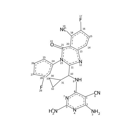 N#Cc1c(N)nc(N)nc1NC(c1nc2ccc(F)c(C#N)c2c(=O)n1-c1cccc(F)c1)C1CC1